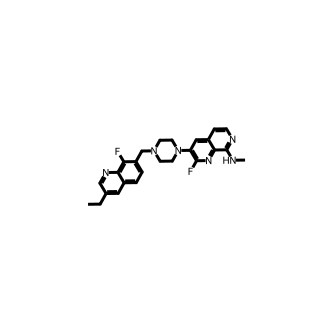 CCc1cnc2c(F)c(CN3CCN(c4cc5ccnc(NC)c5nc4F)CC3)ccc2c1